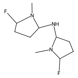 CN1C(F)CCC1NC1CCC(F)N1C